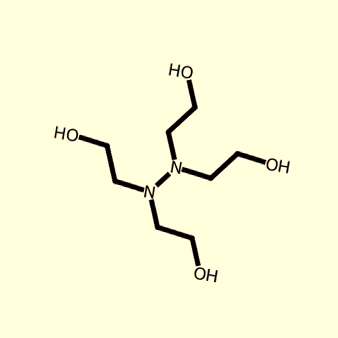 OCCN(CCO)N(CCO)CCO